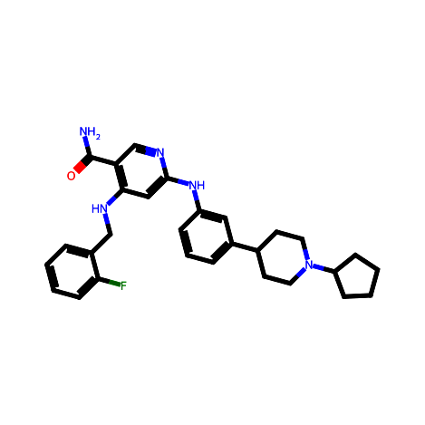 NC(=O)c1cnc(Nc2cccc(C3CCN(C4CCCC4)CC3)c2)cc1NCc1ccccc1F